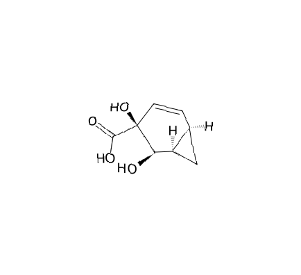 O=C(O)[C@]1(O)C=C[C@H]2C[C@H]2[C@H]1O